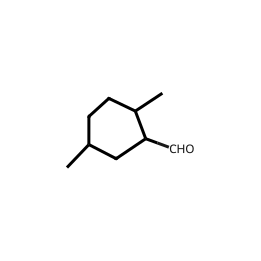 CC1CCC(C)C(C=O)C1